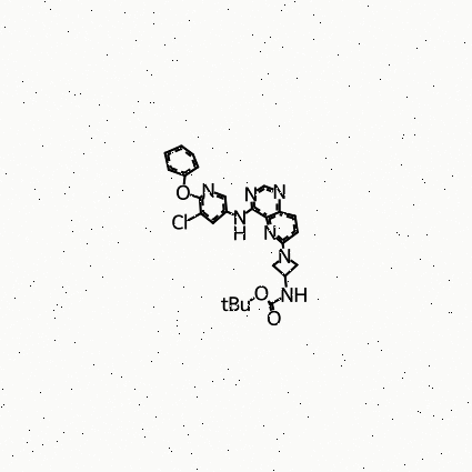 CC(C)(C)OC(=O)NC1CN(c2ccc3ncnc(Nc4cnc(Oc5ccccc5)c(Cl)c4)c3n2)C1